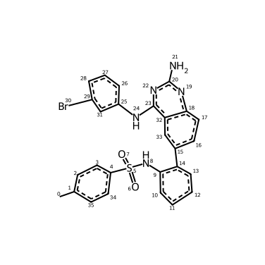 Cc1ccc(S(=O)(=O)Nc2ccccc2-c2ccc3nc(N)nc(Nc4cccc(Br)c4)c3c2)cc1